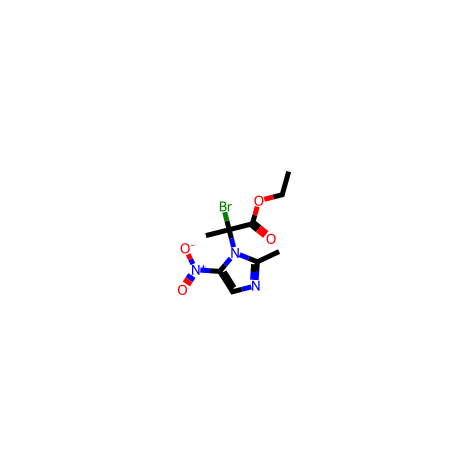 CCOC(=O)C(C)(Br)n1c([N+](=O)[O-])cnc1C